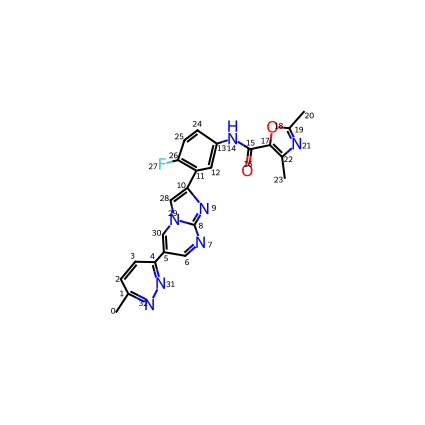 Cc1ccc(-c2cnc3nc(-c4cc(NC(=O)c5oc(C)nc5C)ccc4F)cn3c2)nn1